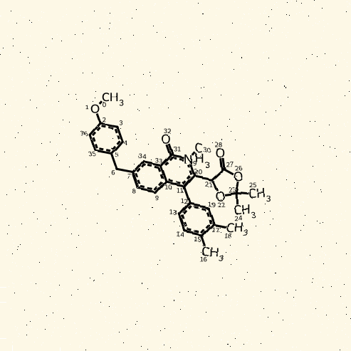 COc1ccc(Cc2ccc3c(-c4ccc(C)c(C)c4)c(C4OC(C)(C)OC4=O)n(C)c(=O)c3c2)cc1